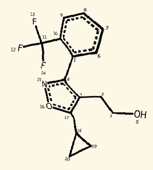 OCCc1c(-c2ccccc2C(F)(F)F)noc1C1CC1